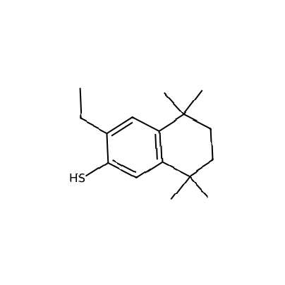 CCc1cc2c(cc1S)C(C)(C)CCC2(C)C